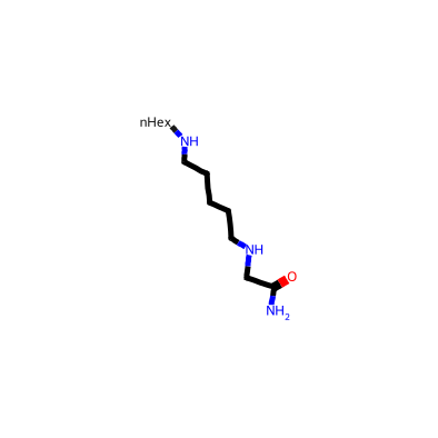 CCCCCCNCCCCCNCC(N)=O